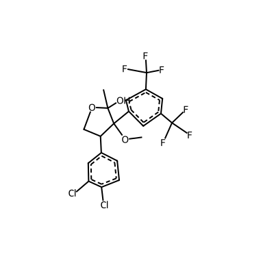 COC1(c2cc(C(F)(F)F)cc(C(F)(F)F)c2)C(c2ccc(Cl)c(Cl)c2)COC1(C)O